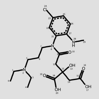 CCN(CC)CCCN(C(=O)CC(O)(CC(=O)O)C(=O)O)c1cc(Cl)ccc1NC